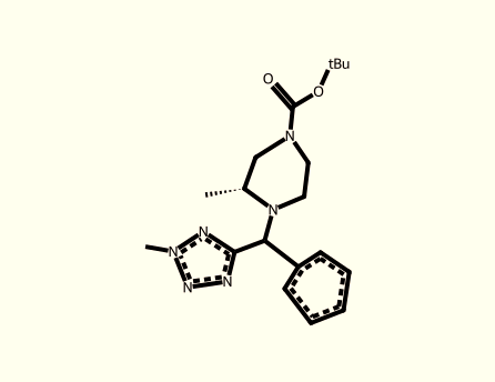 C[C@@H]1CN(C(=O)OC(C)(C)C)CCN1C(c1ccccc1)c1nnn(C)n1